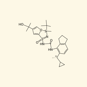 C[C@H](c1ccc2c(c1NC(=O)NS(=O)(=N[Si](C)(C)C(C)(C)C)c1cc(C(C)(C)O)co1)CCC2)C1CC1